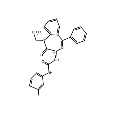 CCOC(=O)CN1C(=O)[C@H](NC(=O)Nc2cccc(C)c2)N=C(c2ccccc2)c2ccccc21